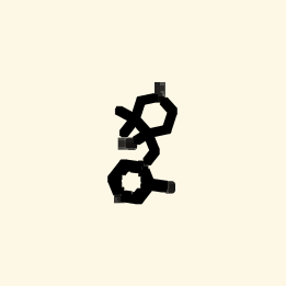 CC1(C)CNCCC1(O)Cn1ccncc1=O